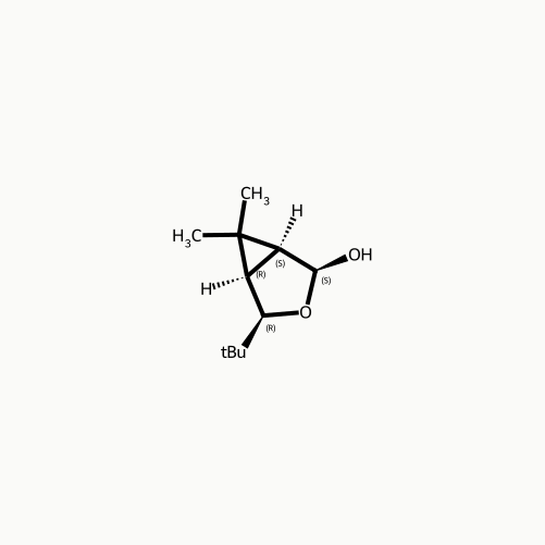 CC(C)(C)[C@@H]1O[C@H](O)[C@H]2[C@@H]1C2(C)C